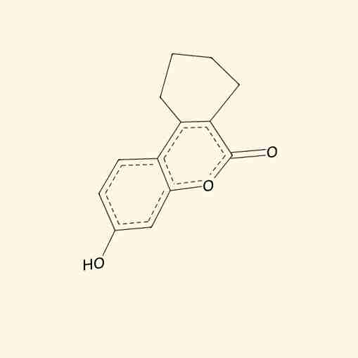 O=c1oc2cc(O)ccc2c2c1CCCC2